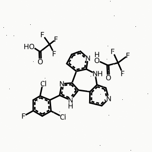 Fc1cc(Cl)c(-c2nc3c([nH]2)-c2ccncc2Nc2ncccc2-3)c(Cl)c1.O=C(O)C(F)(F)F.O=C(O)C(F)(F)F